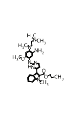 CCCOC(=O)c1c(-c2ccnc(Nc3cc(N)c(N(C)CCN(C)C)cc3OC)n2)c2ccccc2n1C